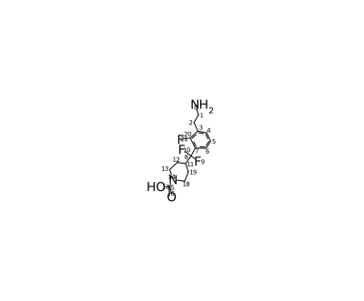 NCCc1cccc(C(F)(F)C2CCN(C(=O)O)CC2)c1F